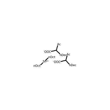 CCCCCCCCCCC(C(C)=O)C(=O)[O-].CCCCCCCCCCC(C(C)=O)C(=O)[O-].CCCCCCC[CH2][Sn+2][CH2]CCCCCCC